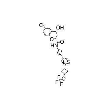 O=C(NC12CC(c3csc(C4CC(OC(F)(F)F)C4)n3)(C1)C2)[C@H]1C[C@@H](O)c2cc(Cl)ccc2O1